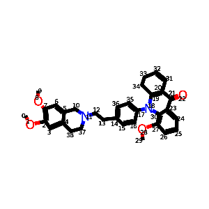 COc1cc2c(cc1OC)CN(CCc1ccc(-n3c4c(c(=O)c5cccc(OC)c53)C=CCC4)cc1)CC2